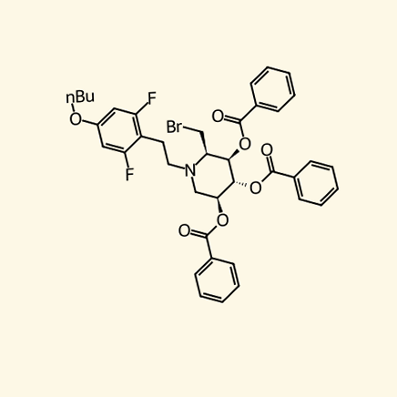 CCCCOc1cc(F)c(CCN2C[C@H](OC(=O)c3ccccc3)[C@@H](OC(=O)c3ccccc3)[C@H](OC(=O)c3ccccc3)[C@@H]2CBr)c(F)c1